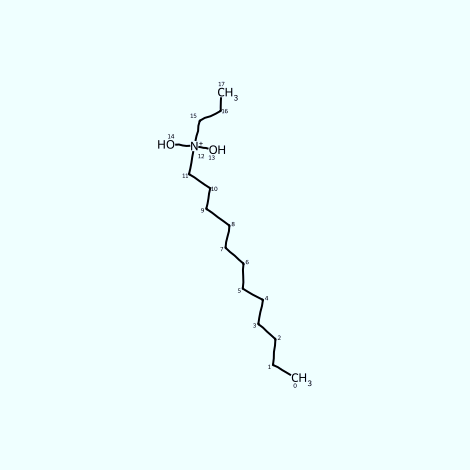 CCCCCCCCCCCC[N+](O)(O)CCC